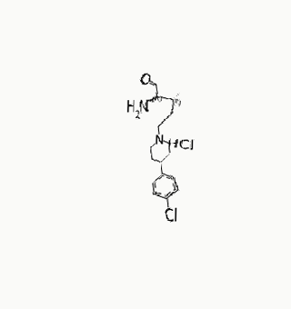 C[C@H](CCN1CCC(c2ccc(Cl)cc2)CC1)[C@@H](N)C=O.Cl